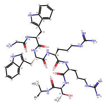 CC(C)[C@H](NC(=O)[C@@H](NC(=O)[C@H](CCCNC(=N)N)NC(=O)[C@H](CCCNC(=N)N)NC(=O)[C@H](Cc1c[nH]c2ccccc12)NC(=O)[C@H](Cc1c[nH]c2ccccc12)NC(=O)CN)[C@@H](C)O)C(=O)O